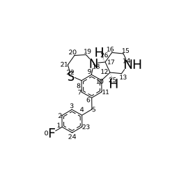 Fc1ccc(Cc2cc3c4c(c2)[C@@H]2CNCC[C@@H]2N4CCCS3)cc1